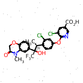 C[C@@H](c1ccc(Oc2ncc(C(=O)O)cc2Cl)cc1Cl)[C@](O)(c1ccc2c(c1)N(C)C(=O)CO2)C(F)(F)F